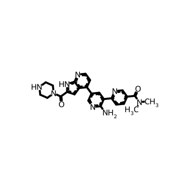 CN(C)C(=O)c1ccc(-c2cc(-c3ccnc4[nH]c(C(=O)N5CCNCC5)cc34)cnc2N)nc1